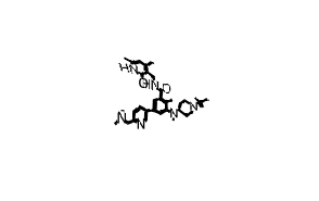 Cc1cc(C)c(CNC(=O)c2cc(-c3ccc(CN(C)C)nc3)cc(N(C)C3CCN(C(C)(C)C)CC3)c2C)c(=O)[nH]1